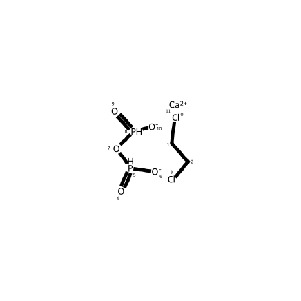 ClCCCl.O=[PH]([O-])O[PH](=O)[O-].[Ca+2]